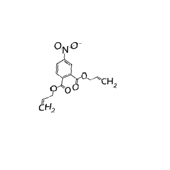 C=CCOC(=O)c1ccc([N+](=O)[O-])cc1C(=O)OCC=C